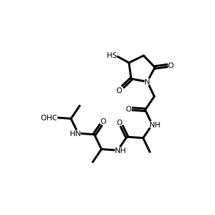 CC(C=O)NC(=O)C(C)NC(=O)C(C)NC(=O)CN1C(=O)CC(S)C1=O